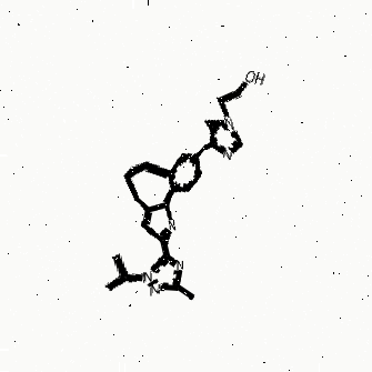 Cc1nc(C2=NC3=c4ccc(-c5cn(CCO)cn5)cc4=CCCC3=C2)n(C(C)C)n1